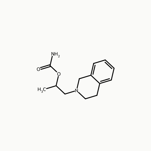 CC(CN1CCc2ccccc2C1)OC(N)=O